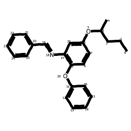 CCCC(C)Oc1ccc(Oc2ccccc2)c(N=Cc2ccccc2)c1